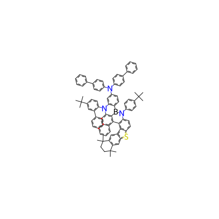 CC(C)(C)c1ccc(N2B3c4ccc(N(c5ccc(-c6ccccc6)cc5)c5ccc(-c6ccccc6)cc5)cc4N(c4ccc(C(C)(C)C)cc4-c4ccccc4)c4cc5ccccc5c(c43)-c3c2ccc2sc4cc5c(cc4c32)C(C)(C)CCC5(C)C)cc1